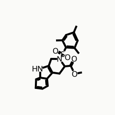 COC(=O)C1Cc2c([nH]c3ccccc23)CN1S(=O)(=O)c1c(C)cc(C)cc1C